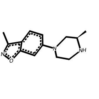 Cc1noc2cc(N3CCN[C@H](C)C3)ccc12